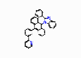 c1ccc(-c2nc3ccccc3n2-c2c3ccccc3c(-c3cccc(-c4ccccn4)c3)c3ccccc23)cc1